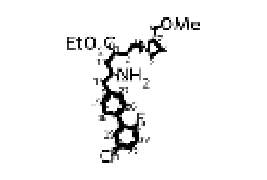 CCOC(=O)[C@H](CCN1CC[C@@H]1COC)C[C@H](N)Cc1ccc(-c2cc(Cl)ccc2F)cc1